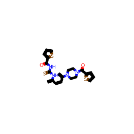 C=C(/C=C\C(=C)N1CCN(C(=O)c2cccs2)CC1)NC(=S)NC(=O)c1cccs1